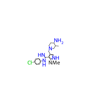 CNc1[nH]cc(CN2CCC(N)C(C)C2)c1C(=N)Nc1ccc(Cl)cc1